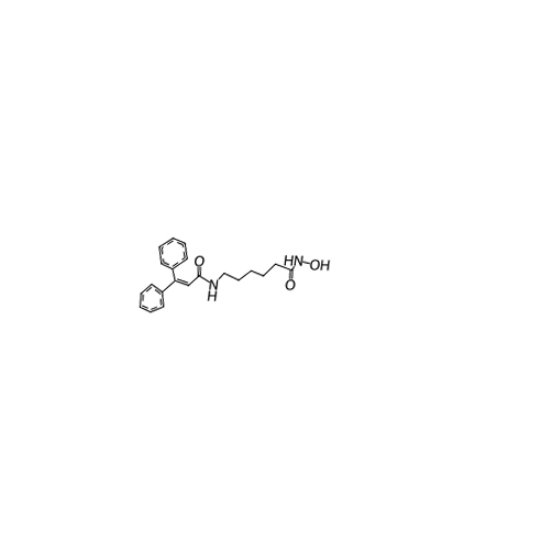 O=C(C=C(c1ccccc1)c1ccccc1)NCCCCCC(=O)NO